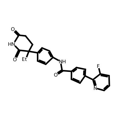 CCC1(c2ccc(NC(=O)c3ccc(-c4ncccc4F)cc3)cc2)CCC(=O)NC1=O